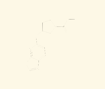 CC(C)(C)OC(=O)N1CCC(Oc2ccc3n[c]sc3n2)C1